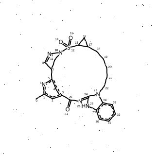 Cc1cc2cc(n1)C1C=NN(C1)S(=O)(=O)C1CC1CCCCCN1/C(=N/C2=O)Nc2ccccc21